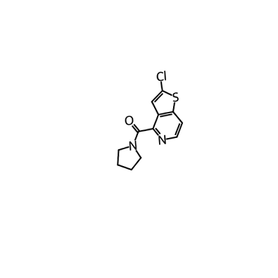 O=C(c1nccc2sc(Cl)cc12)N1CCCC1